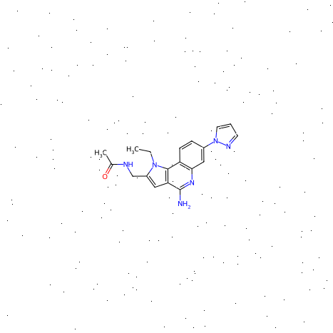 CCn1c(CNC(C)=O)cc2c(N)nc3cc(-n4cccn4)ccc3c21